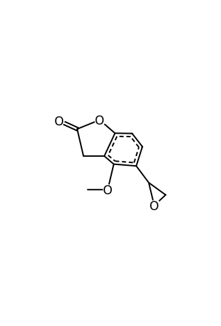 COc1c(C2CO2)ccc2c1CC(=O)O2